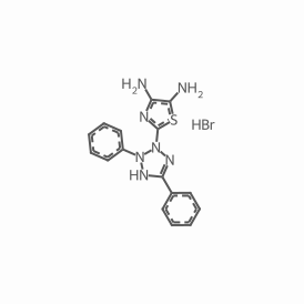 Br.Nc1nc(N2N=C(c3ccccc3)NN2c2ccccc2)sc1N